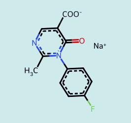 Cc1ncc(C(=O)[O-])c(=O)n1-c1ccc(F)cc1.[Na+]